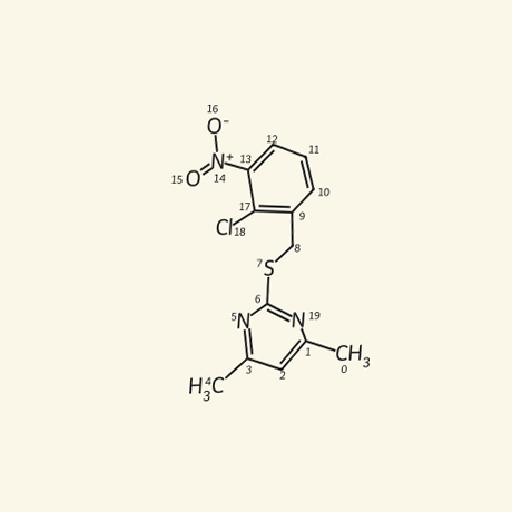 Cc1cc(C)nc(SCc2cccc([N+](=O)[O-])c2Cl)n1